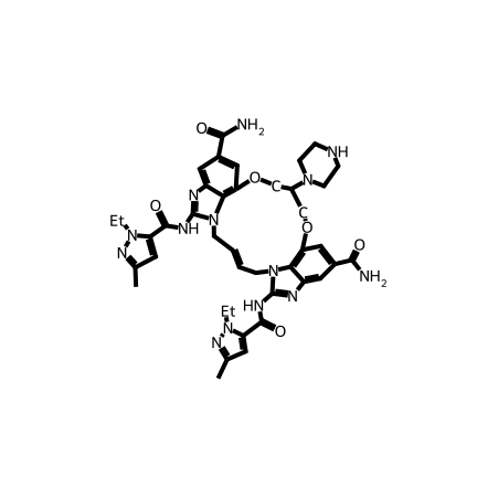 CCn1nc(C)cc1C(=O)Nc1nc2cc(C(N)=O)cc3c2n1C/C=C/Cn1c(NC(=O)c2cc(C)nn2CC)nc2cc(C(N)=O)cc(c21)OCC(N1CCNCC1)CO3